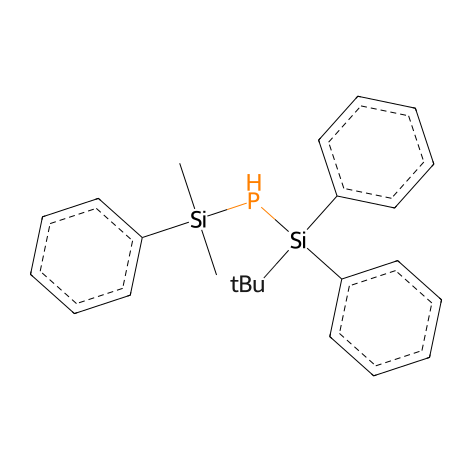 CC(C)(C)[Si](P[Si](C)(C)c1ccccc1)(c1ccccc1)c1ccccc1